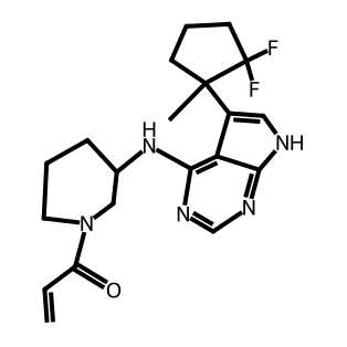 C=CC(=O)N1CCCC(Nc2ncnc3[nH]cc(C4(C)CCCC4(F)F)c23)C1